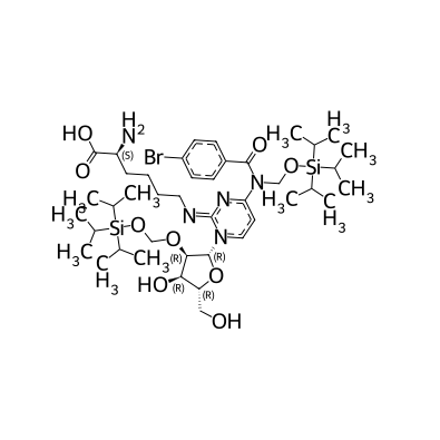 CC(C)[Si](OCO[C@@H]1[C@H](O)[C@@H](CO)O[C@H]1n1ccc(N(CO[Si](C(C)C)(C(C)C)C(C)C)C(=O)c2ccc(Br)cc2)nc1=NCCCC[C@H](N)C(=O)O)(C(C)C)C(C)C